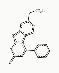 CCOC(=O)Cc1ccc2c(c1)sc1nc(=O)cc(-c3ccccc3)n12